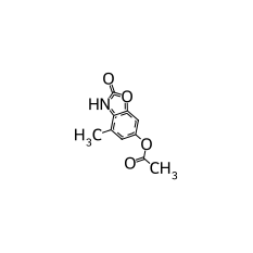 CC(=O)Oc1cc(C)c2[nH]c(=O)oc2c1